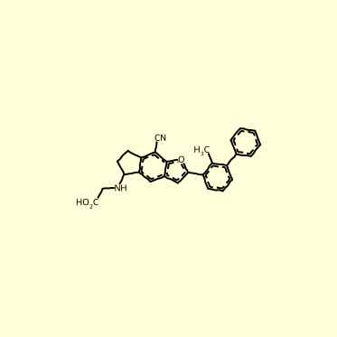 Cc1c(-c2ccccc2)cccc1-c1cc2cc3c(c(C#N)c2o1)CCC3NCC(=O)O